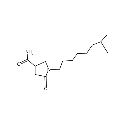 CC(C)CCCCCCN1CC(C(N)=O)CC1=O